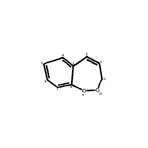 [CH]1C=Cc2ccccc2OO1